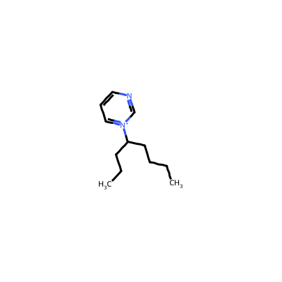 CCCCC(CCC)[n+]1cccnc1